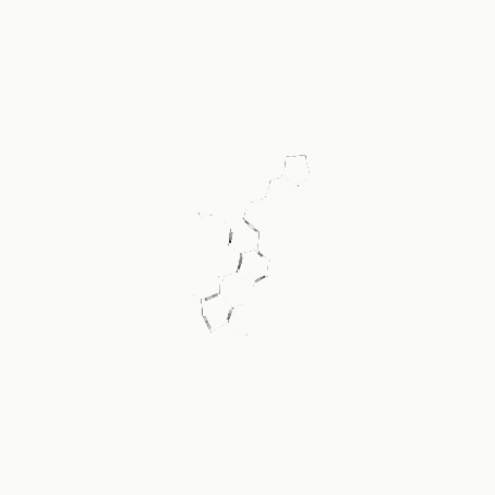 COc1cc2c(Nc3c(F)ccc(O)c3C)ncnc2cc1OCCN1CCCC1